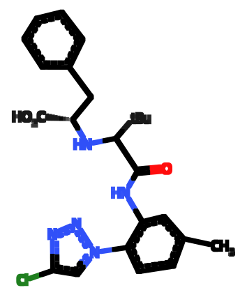 Cc1ccc(-n2cc(Cl)nn2)c(NC(=O)C(N[C@@H](Cc2ccccc2)C(=O)O)C(C)(C)C)c1